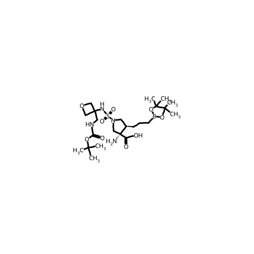 CC(C)(C)OC(=O)NCC1(NS(=O)(=O)N2C[C@@H](CCCB3OC(C)(C)C(C)(C)O3)[C@@](N)(C(=O)O)C2)COC1